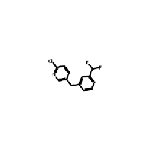 FC(F)c1cccc(Cc2ccc(Cl)nc2)c1